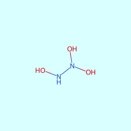 ONN(O)O